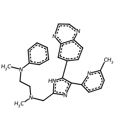 Cc1cccc(-c2nc(CN(C)CCN(C)c3ccccc3)[nH]c2-c2ccc3nccnc3c2)n1